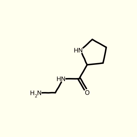 NCNC(=O)C1CCCN1